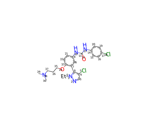 CCn1ncc(Cl)c1-c1cc(NC(=O)Nc2ccc(Cl)cc2)ccc1OCCCN(C)C